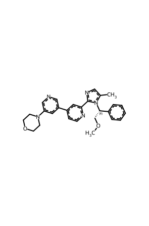 COC[C@@H](c1ccccc1)n1c(C)cnc1-c1cc(-c2cncc(N3CCOCC3)c2)ccn1